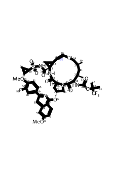 COc1ccc2c(O[C@@H]3C[C@H]4C(=O)N[C@]5(C(=O)NS(=O)(=O)C6CC6)CC5/C=C\CC[C@@H](C)C[C@@H](C)[C@H](NC(=O)OC(C)(C)C(F)(F)F)C(=O)N4C3)nc(-c3ccc(OC)c(F)c3)cc2c1